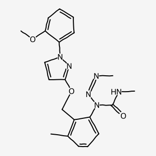 C/N=N\N(C(=O)NC)c1cccc(C)c1COc1ccn(-c2ccccc2OC)n1